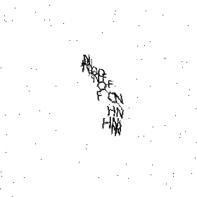 O=C1O[C@@H](Cn2ccnn2)CN1c1cc(F)c(-c2ccc(CNCc3cnn[nH]3)nc2)c(F)c1F